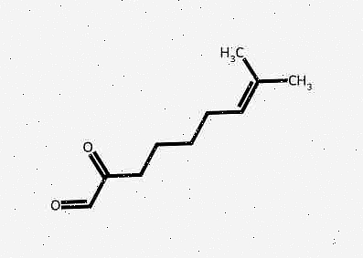 CC(C)=CCCCCC(=O)C=O